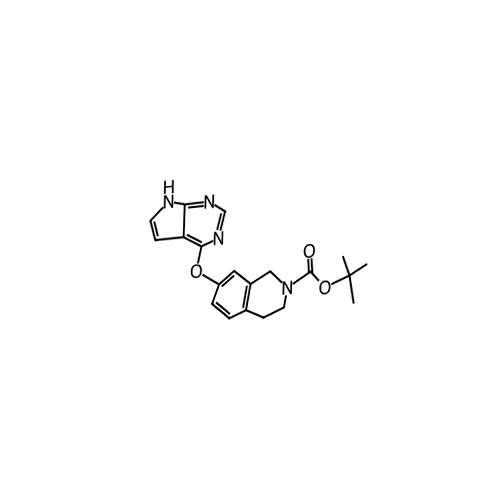 CC(C)(C)OC(=O)N1CCc2ccc(Oc3ncnc4[nH]ccc34)cc2C1